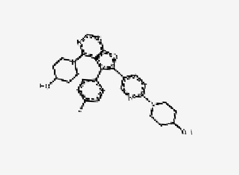 OC1CCN(c2ccc(-c3oc4ncnc(N5CCC(O)CC5)c4c3-c3ccc(F)cc3)cn2)CC1